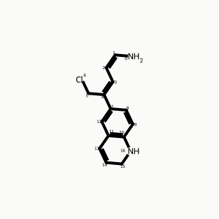 N/C=C\C=C(/CCl)c1ccc2c(c1)C=CCN2